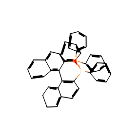 O=P(c1ccccc1)(c1ccccc1)[C@@H]1CC=c2ccccc2=C1c1c(P(c2ccccc2)c2ccccc2)ccc2c1=CCCC=2